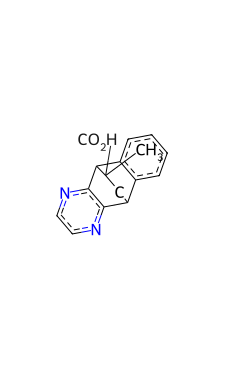 CC1(C(=O)O)CC2c3ccccc3C1c1nccnc12